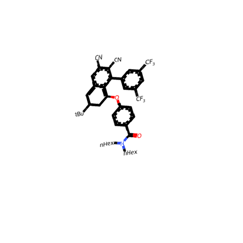 CCCCCCN(CCCCCC)C(=O)c1ccc(OC2=c3c(-c4cc(C(F)(F)F)cc(C(F)(F)F)c4)c(C#N)c(C#N)cc3=CC(C(C)(C)C)C2)cc1